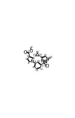 COC(=O)c1ccn(-c2cccc(CCl)c2)c1[C@@H]1C[C@H]1c1cn(C)nn1